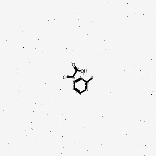 Cc1ccccc1.O=C(O)CCl